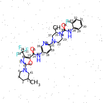 CC1CCCN(c2nc(C(F)(F)F)c(C(=O)Nc3ccc(N4CCN(C(=O)Nc5ccccc5F)[C@H](C)C4)nc3)o2)C1